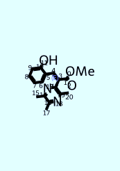 COC(=O)/C(=C/c1ccccc1O)c1nc(C)c(C)nc1C